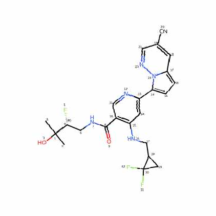 CC(C)(O)[C@H](F)CNC(=O)c1cnc(-c2ccc3cc(C#N)cnn23)cc1NCC1CC1(F)F